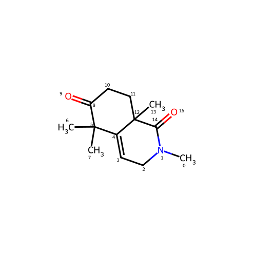 CN1CC=C2C(C)(C)C(=O)CCC2(C)C1=O